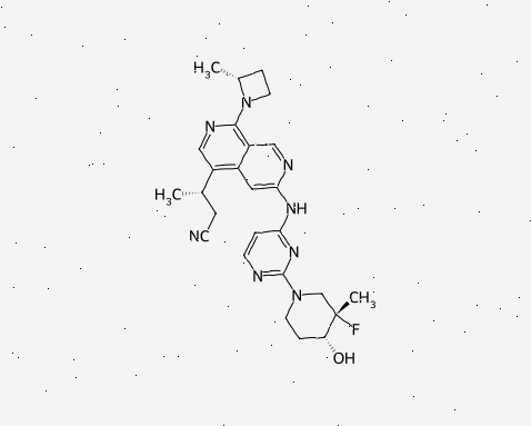 C[C@@H]1CCN1c1ncc([C@@H](C)CC#N)c2cc(Nc3ccnc(N4CC[C@@H](O)[C@@](C)(F)C4)n3)ncc12